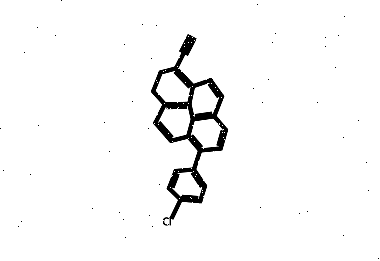 C#CC1=c2ccc3ccc(-c4ccc(Cl)cc4)c4ccc(c2c34)CC1